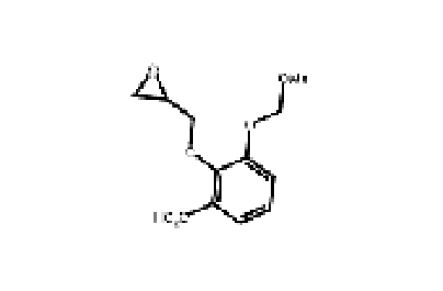 COCOc1cccc(C(=O)O)c1OCC1CO1